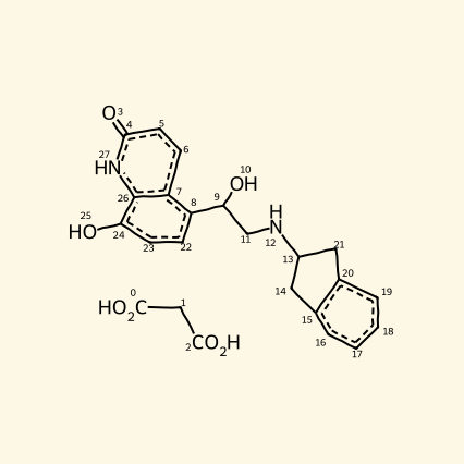 O=C(O)CC(=O)O.O=c1ccc2c(C(O)CNC3Cc4ccccc4C3)ccc(O)c2[nH]1